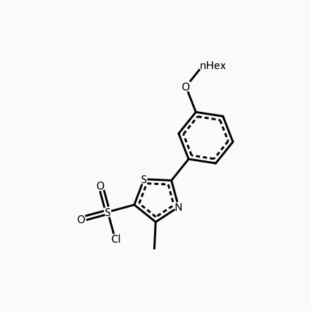 CCCCCCOc1cccc(-c2nc(C)c(S(=O)(=O)Cl)s2)c1